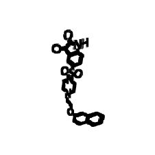 O=C1Nc2ccc(S(=O)(=O)N3CCN(CCOc4ccc5ccccc5c4)CC3)cc2C1=O